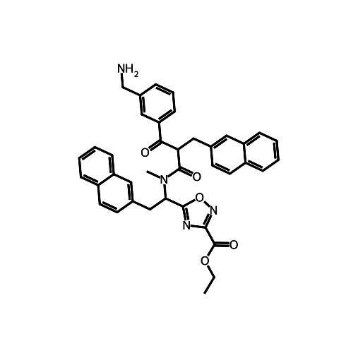 CCOC(=O)c1noc(C(Cc2ccc3ccccc3c2)N(C)C(=O)C(Cc2ccc3ccccc3c2)C(=O)c2cccc(CN)c2)n1